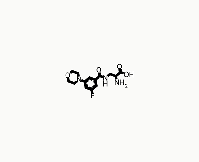 NC(CNC(=O)c1cc(F)cc(N2CCOCC2)c1)C(=O)O